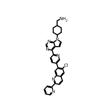 NCC1CCC(n2ccc3c(-c4ccc(-c5cc6nc(-c7ccccn7)ccc6cc5Cl)cn4)ncnc32)CC1